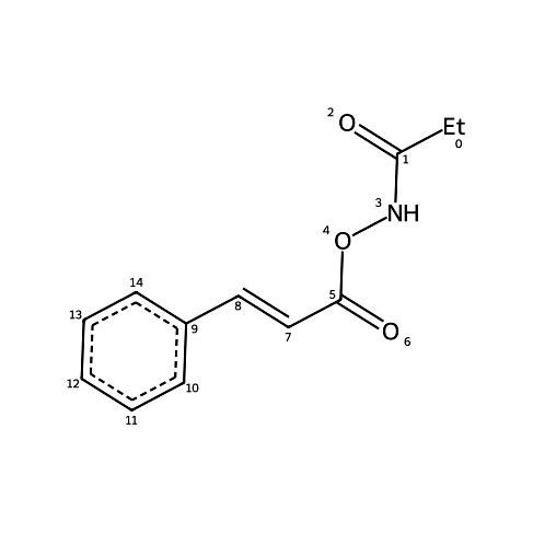 CCC(=O)NOC(=O)/C=C/c1ccccc1